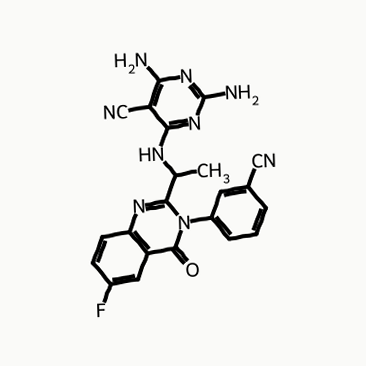 CC(Nc1nc(N)nc(N)c1C#N)c1nc2ccc(F)cc2c(=O)n1-c1cccc(C#N)c1